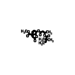 CCC(C)(C)C(=O)OC(C)CC(=O)OC1C2CC3C1OC(=O)C3C2C(=O)OC